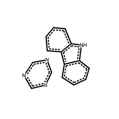 c1ccc2c(c1)[nH]c1ccccc12.c1ncncn1